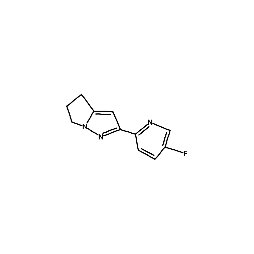 Fc1ccc(-c2cc3n(n2)CCC3)nc1